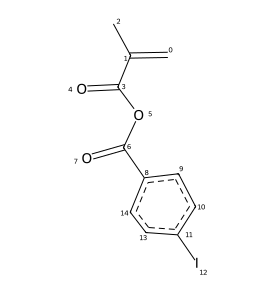 C=C(C)C(=O)OC(=O)c1ccc(I)cc1